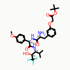 COc1ccc([C@H](NC(=O)[C@@H](N)Cc2cccc(OCC(=O)OC(C)(C)C)c2)C(=O)N[C@@H](C(C)C)[C@H](O)C(F)(F)F)cc1